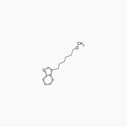 COCCCCCCc1coc2ccccc12